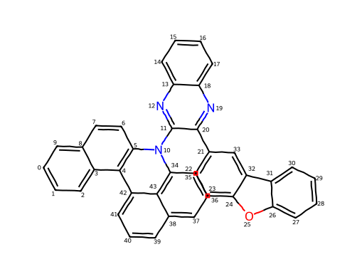 c1ccc2c3c(ccc2c1)N(c1nc2ccccc2nc1-c1ccc2oc4ccccc4c2c1)c1cccc2cccc-3c12